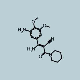 COc1cc(/C(N)=C(\C#N)C(=O)N2CCCCC2)cc(N)c1OC